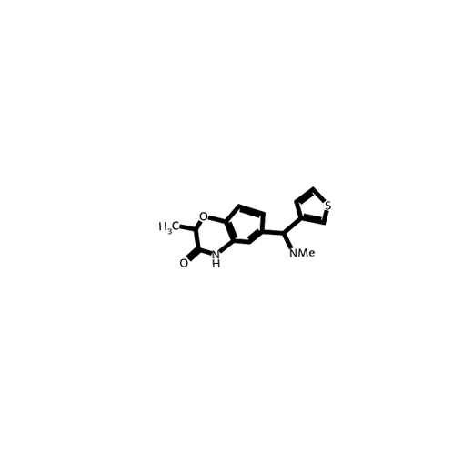 CNC(c1ccsc1)c1ccc2c(c1)NC(=O)C(C)O2